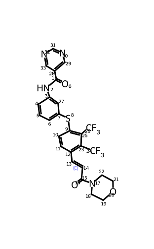 O=C(Nc1cccc(Sc2ccc(/C=C/C(=O)N3CCOCC3)c(C(F)(F)F)c2C(F)(F)F)c1)c1cncnc1